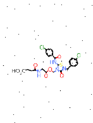 O=C(O)CCC(=O)NCC(=O)OCN1C(=O)N(Cc2ccc(Cl)cc2)SC1NC(=O)c1ccc(Cl)cc1